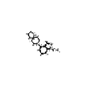 Cn1nnc2c(N3CCC4(CCCO4)CC3)cccc21